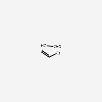 C=CCC.O=CO